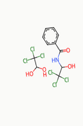 O=C(NC(O)C(Cl)(Cl)Cl)c1ccccc1.OC(O)C(Cl)(Cl)Cl